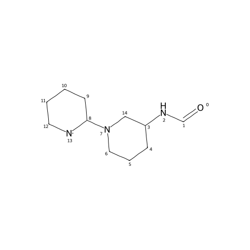 O=CNC1CCCN(C2CCCC[N]2)C1